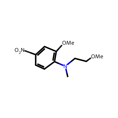 COCCN(C)c1ccc([N+](=O)[O-])cc1OC